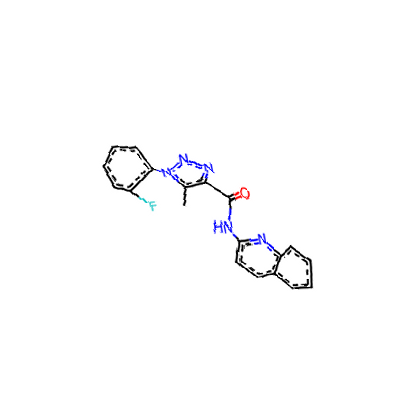 Cc1c(C(=O)Nc2ccc3ccccc3n2)nnn1-c1ccccc1F